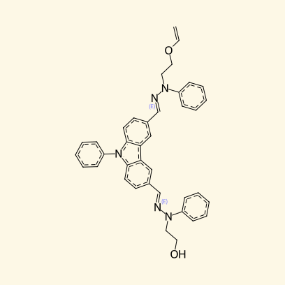 C=COCCN(/N=C/c1ccc2c(c1)c1cc(/C=N/N(CCO)c3ccccc3)ccc1n2-c1ccccc1)c1ccccc1